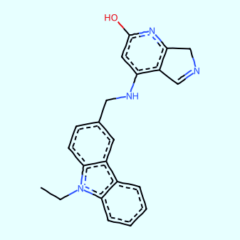 CCn1c2ccccc2c2cc(CNc3cc(O)nc4c3C=NC4)ccc21